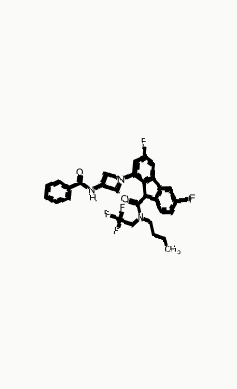 CCCCN(CC(F)(F)F)C(=O)C1c2ccc(F)cc2-c2cc(F)cc(N3CC(NC(=O)c4ccccc4)C3)c21